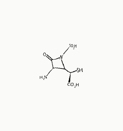 NC1C(=O)N(S(=O)(=O)O)C1[C@@H](S)C(=O)O